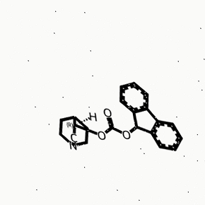 O=C(OC1c2ccccc2-c2ccccc21)O[C@H]1CN2CCC1CC2